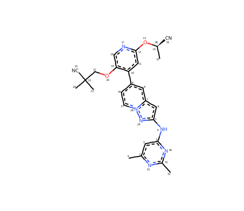 Cc1cc(Nc2cc3cc(-c4cc(O[C@H](C)C#N)ncc4OCC(C)(C)C#N)ccn3n2)nc(C)n1